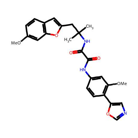 COc1ccc2cc(CC(C)(C)NC(=O)C(=O)Nc3ccc(-c4cnco4)c(OC)c3)oc2c1